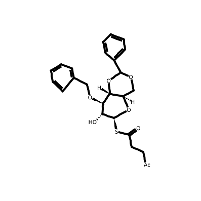 CC(=O)CCC(=O)S[C@@H]1O[C@@H]2COC(c3ccccc3)O[C@H]2[C@H](OCc2ccccc2)[C@H]1O